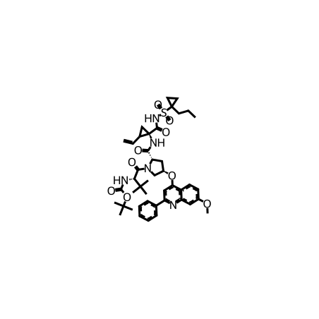 C=CC1C[C@]1(NC(=O)[C@@H]1C[C@@H](Oc2cc(-c3ccccc3)nc3cc(OC)ccc23)CN1C(=O)[C@@H](NC(=O)OC(C)(C)C)C(C)(C)C)C(=O)NS(=O)(=O)C1(CCC)CC1